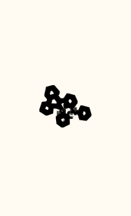 CN(c1ccccc1)c1cccc2c3c4ccccc4c4ccccc4c3n(-c3ccccc3)c12